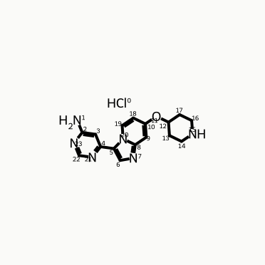 Cl.Nc1cc(-c2cnc3cc(OC4CCNCC4)ccn23)ncn1